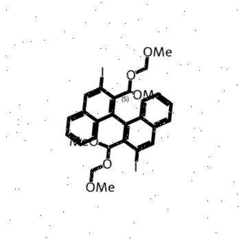 COCOC(OC)c1c(I)cc2ccccc2c1-c1c([C@@H](OC)OCOC)c(I)cc2ccccc12